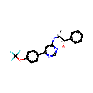 C[C@@H](Nc1cc(-c2ccc(OC(F)(F)F)cc2)ncn1)[C@@H](O)c1ccccc1